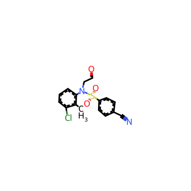 Cc1c(Cl)cccc1N(CC=O)S(=O)(=O)c1ccc(C#N)cc1